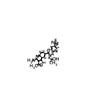 CC(O)CN(Cc1ccc(C(F)(F)F)cn1)C(=O)c1ccc2nc(N)c3c(c2c1)COC3C